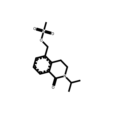 CC(C)N1CCc2c(COS(C)(=O)=O)cccc2C1=O